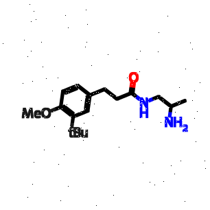 COc1ccc(CCC(=O)NCC(C)N)cc1C(C)(C)C